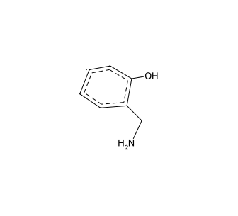 NCc1cc[c]cc1O